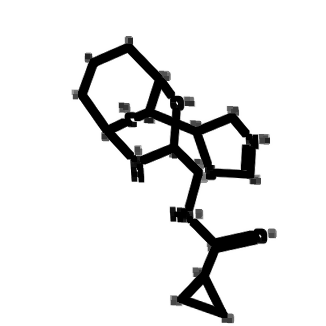 O=C(NCC1NC2CCCC(O1)C(C1CN=CS1)C2)C1CC1